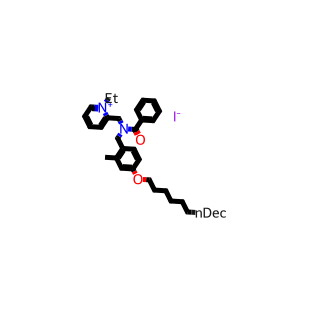 CCCCCCCCCCCCCCCCOc1ccc(CN(Cc2cccc[n+]2CC)C(=O)c2ccccc2)c(C)c1.[I-]